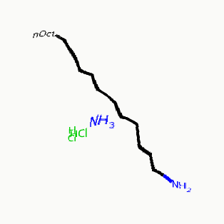 CCCCCCCCCCCCCCCCCCN.Cl.Cl.N